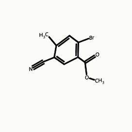 COC(=O)c1cc(C#N)c(C)cc1Br